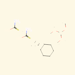 C1CCCCC1.CC.CCC.CCO[SiH](OCC)OCC.NC(O)=S.NC(O)=S